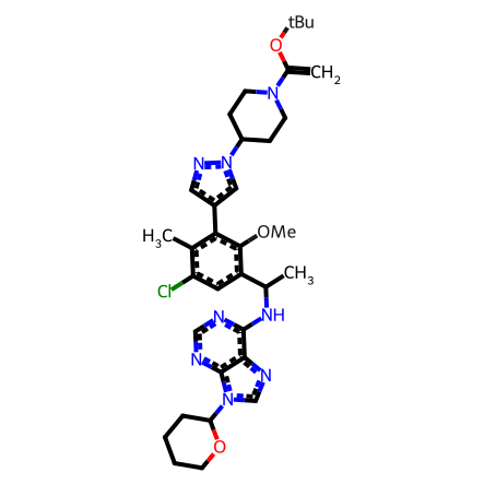 C=C(OC(C)(C)C)N1CCC(n2cc(-c3c(C)c(Cl)cc(C(C)Nc4ncnc5c4ncn5C4CCCCO4)c3OC)cn2)CC1